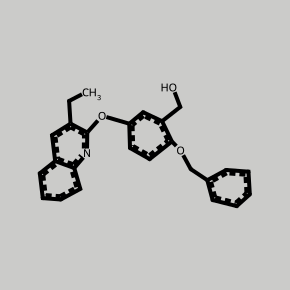 CCc1cc2ccccc2nc1Oc1ccc(OCc2ccccc2)c(CO)c1